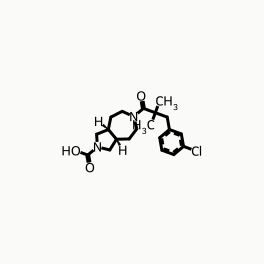 CC(C)(Cc1cccc(Cl)c1)C(=O)N1CC[C@@H]2CN(C(=O)O)C[C@@H]2CC1